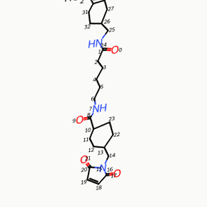 O=C(CCCCCNC(=O)C1CCC(CN2C(=O)C=CC2=O)CC1)NCC1CCC(C(=O)O)CC1